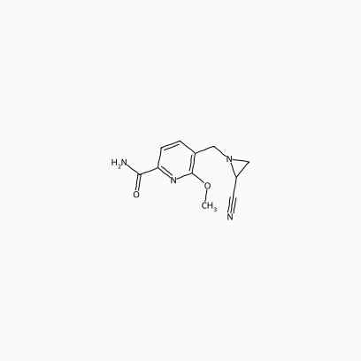 COc1nc(C(N)=O)ccc1CN1CC1C#N